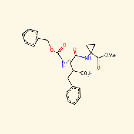 COC(=O)C1(NC(=O)[C@@H](NC(=O)OCc2ccccc2)C(Cc2ccccc2)C(=O)O)CC1